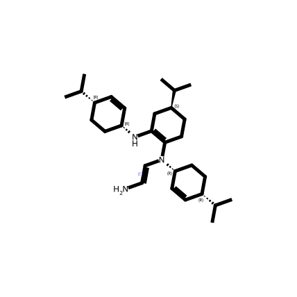 CC(C)[C@H]1CCC(N(/C=C/N)[C@H]2C=C[C@@H](C(C)C)CC2)=C(N[C@H]2C=C[C@@H](C(C)C)CC2)C1